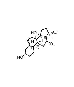 CC(=O)[C@H]1CC[C@]2(O)[C@@H]3CC=C4CC(O)CC[C@]4(C)[C@H]3CC(O)[C@]12C